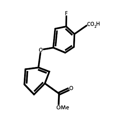 COC(=O)c1cccc(Oc2ccc(C(=O)O)c(F)c2)c1